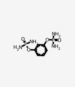 NP(N)(=O)Oc1cccc(OP(N)(N)=O)c1